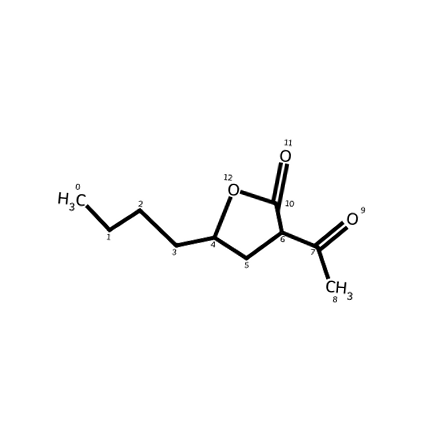 CCCCC1CC(C(C)=O)C(=O)O1